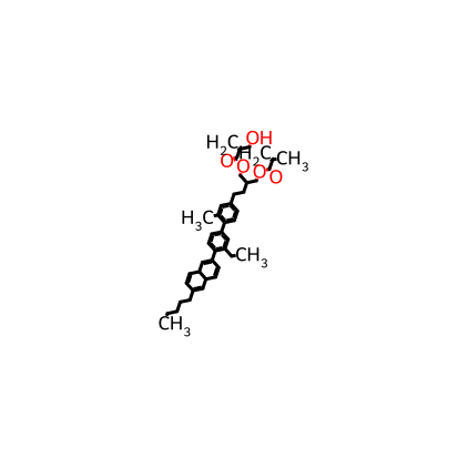 C=C(C)C(=O)OCC(CCc1ccc(-c2ccc(C3=CC4C=CC(CCCCC)=CC4C=C3)c(CC)c2)c(C)c1)COC(=O)C(=C)CO